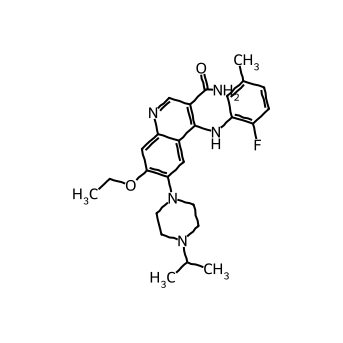 CCOc1cc2ncc(C(N)=O)c(Nc3cc(C)ccc3F)c2cc1N1CCN(C(C)C)CC1